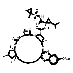 COc1ccc2nc3c(nc2c1)O[C@@H]1C[C@@H](C(=O)N[C@]2(C(=O)NS(=O)(=O)C4(C)CC4)CC2C(F)F)N(C1)C(=O)[C@H](C(C)(C)C)NC(=O)O[C@@H]1C[C@H](C)[C@H](C)[C@H]1CCCCC3